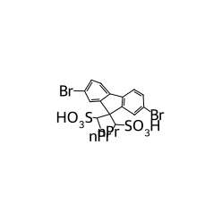 CCCC(C1(C(CCC)S(=O)(=O)O)c2cc(Br)ccc2-c2ccc(Br)cc21)S(=O)(=O)O